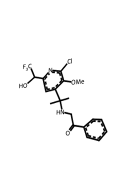 COc1c(C(C)(C)NCC(=O)c2ccccc2)cc(C(O)C(F)(F)F)nc1Cl